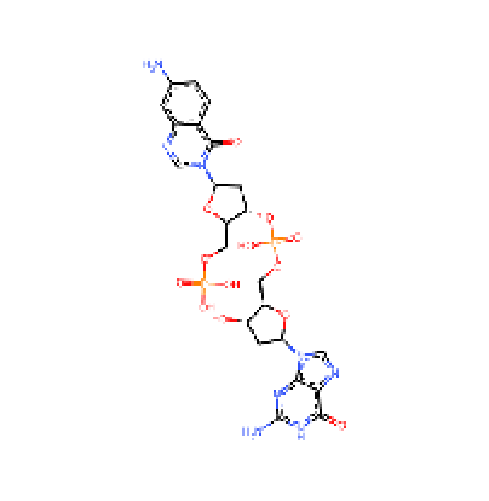 Nc1ccc2c(=O)n([C@H]3C[C@H](OP(=O)(O)OC[C@H]4O[C@@H](n5cnc6c(=O)[nH]c(N)nc65)C[C@H]4O)[C@@H](COP(=O)(O)O)O3)cnc2c1